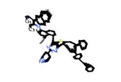 C=Cc1c(/C=C\C)c2cc3ccccc3cc2n1-c1cccc2c(-c3nc(-c4ccncc4)nc4c3sc3cc(-c5ccccc5)c(-c5ccc(-c6ccccc6)cc5)cc34)cccc12